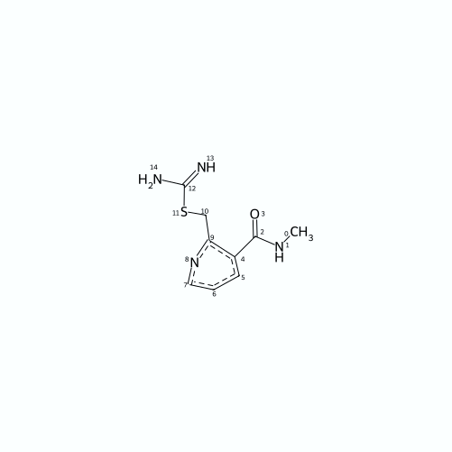 CNC(=O)c1cccnc1CSC(=N)N